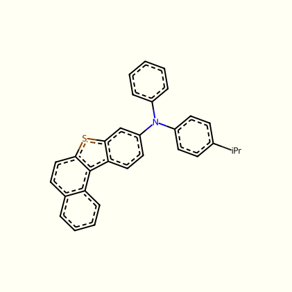 CC(C)c1ccc(N(c2ccccc2)c2ccc3c(c2)sc2ccc4ccccc4c23)cc1